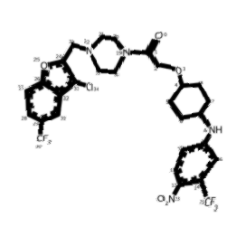 O=C(COC1CCC(Nc2ccc([N+](=O)[O-])c(C(F)(F)F)c2)CC1)N1CCN(Cc2oc3ccc(C(F)(F)F)cc3c2Cl)CC1